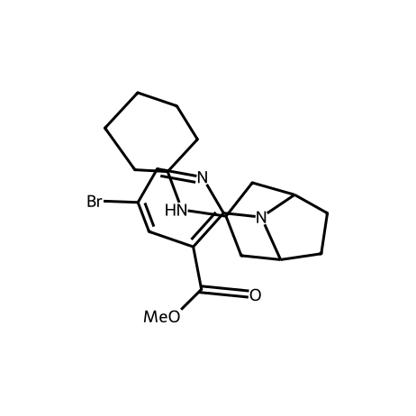 COC(=O)c1cc(Br)cnc1N1C2CCC1CC(NC1CCCCC1)C2